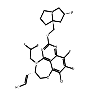 N#C/C=C/[C@H]1COc2c(Cl)c(Br)c(F)c3nc(OC[C@@]45CCCN4C[C@H](F)C5)nc(c23)N1CC(F)F